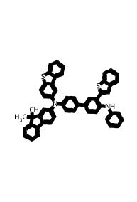 CC1(C)c2ccccc2-c2ccc(N(c3ccc(-c4ccc(Nc5ccccc5)c(-c5cc6ccccc6s5)c4)cc3)c3ccc4sc5ccccc5c4c3)cc21